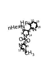 CCCCCCN[C@H]1CN(S(=O)(=O)c2cn(C)cn2)C[C@@H]1c1ncccc1F